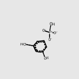 Oc1cccc(O)c1.[O-][I+3]([O-])([O-])O